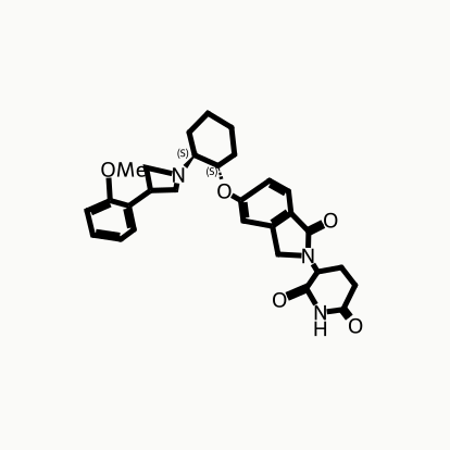 COc1ccccc1C1CN([C@H]2CCCC[C@@H]2Oc2ccc3c(c2)CN(C2CCC(=O)NC2=O)C3=O)C1